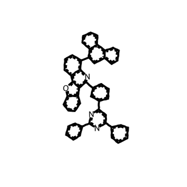 c1ccc(-c2cc(-c3cccc(-c4nc5c(-c6cc7ccccc7c7ccccc67)cccc5c5oc6ccccc6c45)c3)nc(-c3ccccc3)n2)cc1